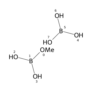 COB(O)O.OB(O)O